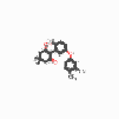 CCc1ccc(Oc2ccc(C(F)(F)F)c(C#N)c2)cc1C1=C(O)CC(C)(C)CC1=O